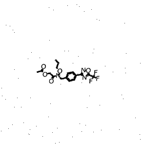 CCCON(Cc1ccc(-c2noc(C(F)(F)F)n2)cc1)C(=O)COC(C)=O